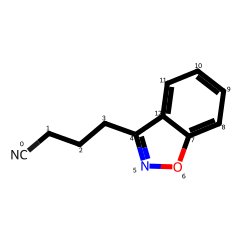 N#CCCCc1noc2ccccc12